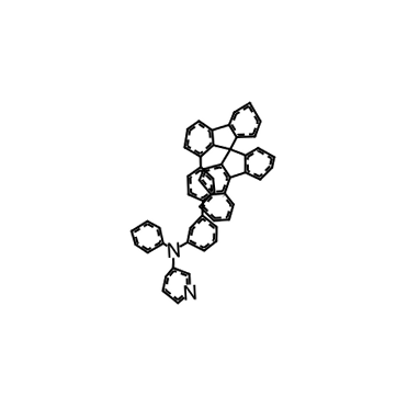 c1ccc(N(c2cccnc2)c2cccc(-c3ccc(-c4cccc5c4C4(c6ccccc6-5)c5ccccc5-c5c4ccc4ccccc54)cc3)c2)cc1